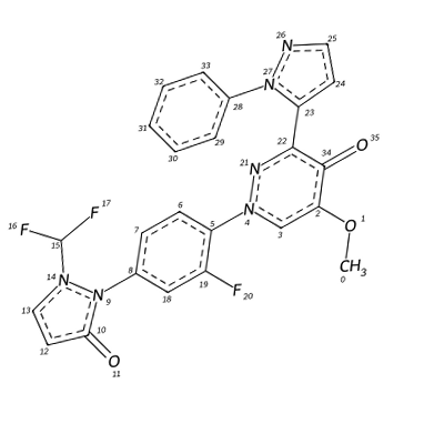 COc1cn(-c2ccc(-n3c(=O)ccn3C(F)F)cc2F)nc(-c2ccnn2-c2ccccc2)c1=O